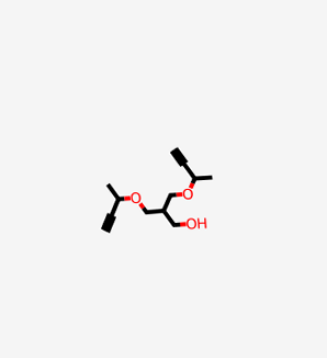 C#CC(C)OCC(CO)COC(C)C#C